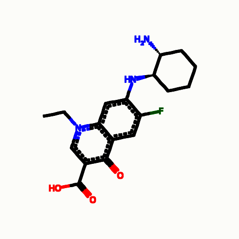 CCn1cc(C(=O)O)c(=O)c2cc(F)c(N[C@@H]3CCCC[C@H]3N)cc21